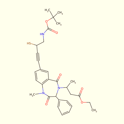 CCOC(=O)CC(C)N1C(=O)c2cc(C#CC(S)CNC(=O)OC(C)(C)C)ccc2N(C)C(=O)C1c1ccccc1